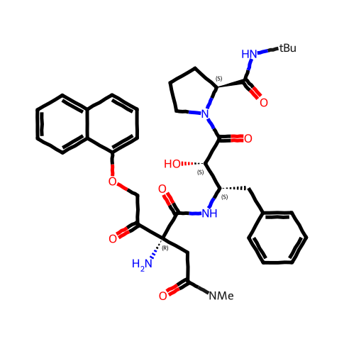 CNC(=O)C[C@@](N)(C(=O)COc1cccc2ccccc12)C(=O)N[C@@H](Cc1ccccc1)[C@H](O)C(=O)N1CCC[C@H]1C(=O)NC(C)(C)C